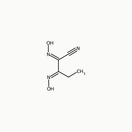 CCC(=N\O)/C(C#N)=N/O